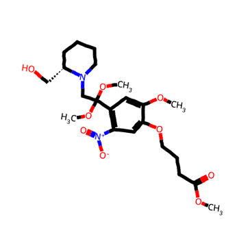 COC(=O)CCCOc1cc([N+](=O)[O-])c(C(CN2CCCC[C@H]2CO)(OC)OC)cc1OC